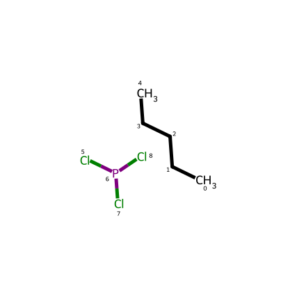 CCCCC.ClP(Cl)Cl